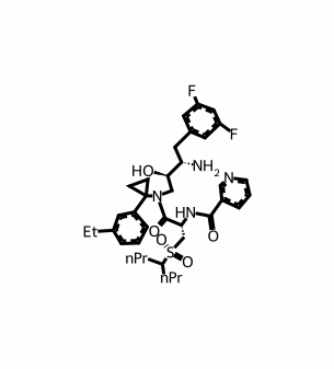 CCCC(CCC)S(=O)(=O)C[C@@H](NC(=O)c1cccnc1)C(=O)N(C[C@@H](O)[C@@H](N)Cc1cc(F)cc(F)c1)C1(c2cccc(CC)c2)CC1